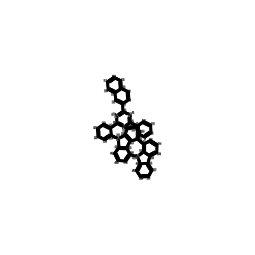 c1ccc(-c2nc(-c3ccc4ccccc4c3)nc(-c3ccccc3-n3c4cccc5c6cccc7c8ccccc8n(c8cccc3c8c54)c67)n2)cc1